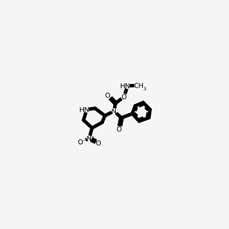 CNOC(=O)N(C(=O)c1ccccc1)C1CNCC([N+](=O)[O-])C1